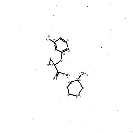 C[C@H]1CNCC[C@@H]1NC(=O)C1(Cc2cccc(Cl)c2)CC1